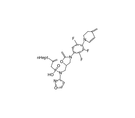 C=C1C=CN(c2c(F)cc(N3CC(CN(c4ccon4)P(=O)(O)CC(=C)CCCCCCC)OC3=C)c(F)c2F)CC1